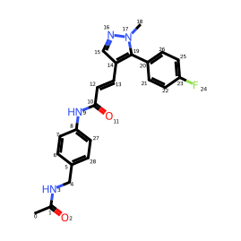 CC(=O)NCc1ccc(NC(=O)C=Cc2cnn(C)c2-c2ccc(F)cc2)cc1